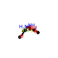 CC(N)(CCc1ccc2c(CCCCOC3CCCCC3)csc2c1)C(O)C(C[C@@](C)(N)CO)c1ccc(Sc2cccc(OCc3ccccc3)c2)cc1Cl